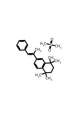 C/C(=C\c1ccccc1)c1ccc2c(c1)C(C)(C)CCC2(C)C.CS(C)(=O)=O